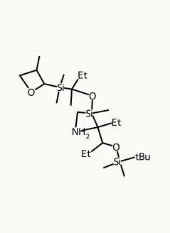 CCC(O[Si](C)(C)C(C)(C)C)C(C)(CC)[Si](C)(CN)OC(C)(CC)[Si](C)(C)C1OCC1C